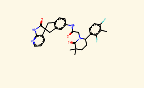 Cc1c(F)ccc(C2CCC(C)(C)C(=O)N2CC(=O)Nc2ccc3c(c2)CC2(C3)C(=O)Nc3ncccc32)c1F